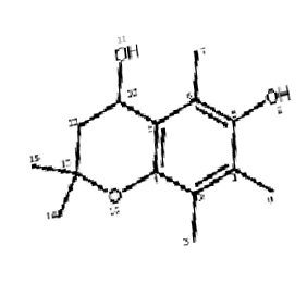 Cc1c(C)c2c(c(C)c1O)C(O)CC(C)(C)O2